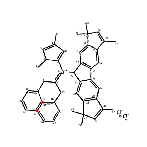 CC1=CC(C)[C]([Zr+2](=[C](Cc2ccccc2)Cc2ccccc2)[CH]2c3cc4c(cc3-c3cc5c(cc32)C(C)(C)C=C5C)C(C)=CC4(C)C)=C1.[Cl-].[Cl-]